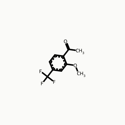 COc1cc(C(F)(F)F)ccc1C(C)=O